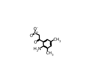 Cc1cc(C)c(N)c(C(=O)C[N+](=O)[O-])c1